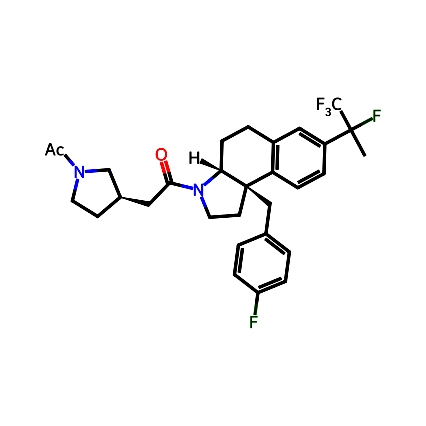 CC(=O)N1CC[C@H](CC(=O)N2CC[C@@]3(Cc4ccc(F)cc4)c4ccc(C(C)(F)C(F)(F)F)cc4CC[C@@H]23)C1